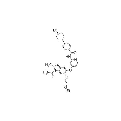 CCOCCOc1cc2c(cc1Oc1ccnc(NC(=O)c3ccc(C4CCN(CC)CC4)nc3)c1)cc(C)n2C(N)=O